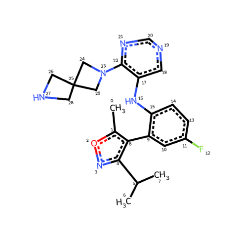 Cc1onc(C(C)C)c1-c1cc(F)ccc1Nc1cncnc1N1CC2(CNC2)C1